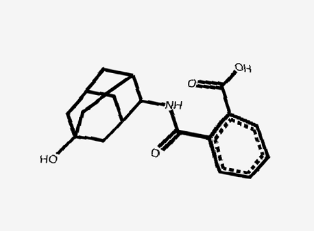 O=C(O)c1ccccc1C(=O)NC1C2CC3CC1CC(O)(C3)C2